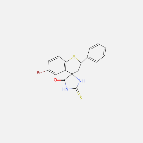 O=C1NC(=S)NC12CC(c1ccccc1)Sc1ccc(Br)cc12